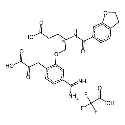 N=C(N)c1ccc(CC(=O)C(=O)O)c(OC[C@@H](CCC(=O)O)NC(=O)c2ccc3c(c2)OCC3)c1.O=C(O)C(F)(F)F